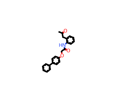 CC(=O)Cc1ccccc1NC(=O)COc1ccc(-c2ccccc2)cc1